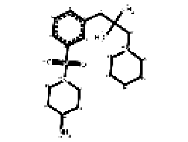 CC(C)(Cc1cccc(S(=O)(=O)N2CCC(N)CC2)c1)CN1CCCCC1